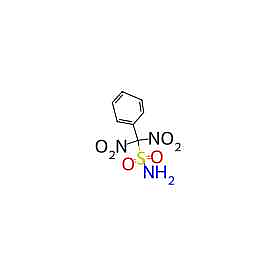 NS(=O)(=O)C(c1ccccc1)([N+](=O)[O-])[N+](=O)[O-]